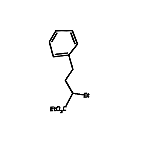 CCOC(=O)C(CC)CCc1ccccc1